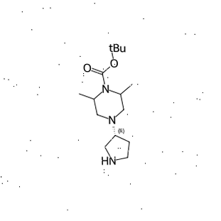 CC1CN([C@@H]2CCNC2)CC(C)N1C(=O)OC(C)(C)C